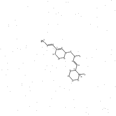 CC(C)/C=C/C1=CC(CC(C)/C=C/C2CCCCN2C)CCC1